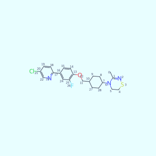 CC1=NSCCN1C1CCC(COc2ccc(-c3ccc(Cl)cn3)cc2F)CC1